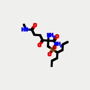 CCCC(CCC)S(=O)(=O)CC(N)(C(N)=O)C(=O)CCC(=O)NC